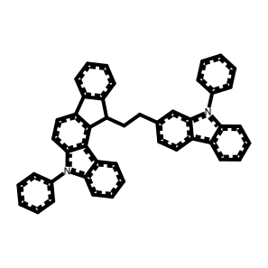 c1ccc(-n2c3ccccc3c3ccc(CCC4c5ccccc5-c5ccc6c(c54)c4ccccc4n6-c4ccccc4)cc32)cc1